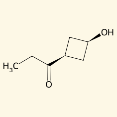 CCC(=O)[C@H]1C[C@@H](O)C1